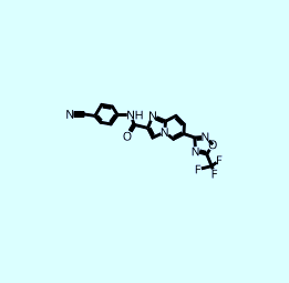 N#Cc1ccc(NC(=O)c2cn3cc(-c4noc(C(F)(F)F)n4)ccc3n2)cc1